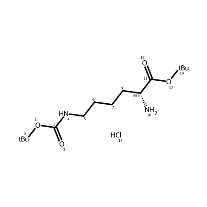 CC(C)(C)OC(=O)NCCCC[C@@H](N)C(=O)OC(C)(C)C.Cl